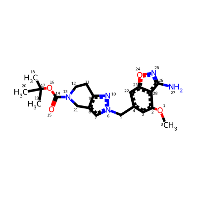 COc1cc(Cn2cc3c(n2)CCN(C(=O)OC(C)(C)C)C3)cc2onc(N)c12